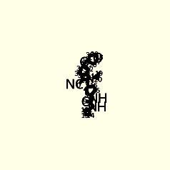 N#Cc1c(-c2ccc(NC(=O)NC3CCC3)cc2)n(C2CC2)c2cc(OC3CCOCC3)ccc12